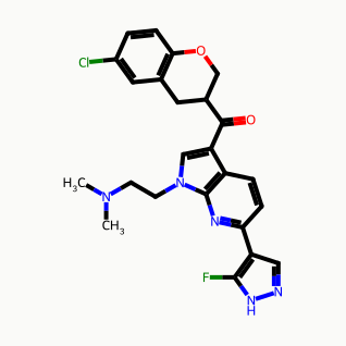 CN(C)CCn1cc(C(=O)C2COc3ccc(Cl)cc3C2)c2ccc(-c3cn[nH]c3F)nc21